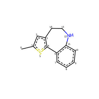 Cc1cc2c(s1)-c1ccccc1NCC2